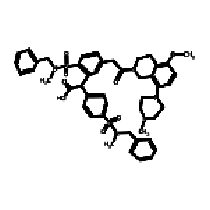 COc1ccc(N2CCN(C)CC2)c2c1CCN(C(=O)Cc1ccc(S(=O)(=O)N(C)Cc3ccccc3)c(C(C(=O)O)c3ccc(S(=O)(=O)N(C)Cc4ccccc4)cc3)c1)C2